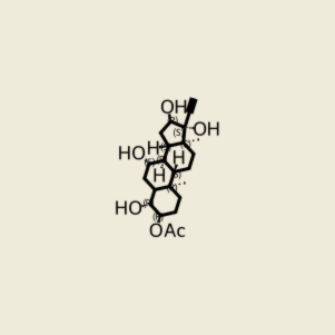 C#C[C@]1(O)[C@H](O)C[C@H]2[C@@H]3[C@@H](O)CC4[C@@H](O)[C@H](OC(C)=O)CC[C@]4(C)[C@H]3CC[C@@]21C